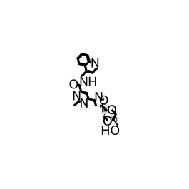 Cc1nc(C(=O)NCc2ccnc3ccccc23)cc(C2=NO[C@H]([C@H]3CO[C@H](CO)CO3)C2)n1